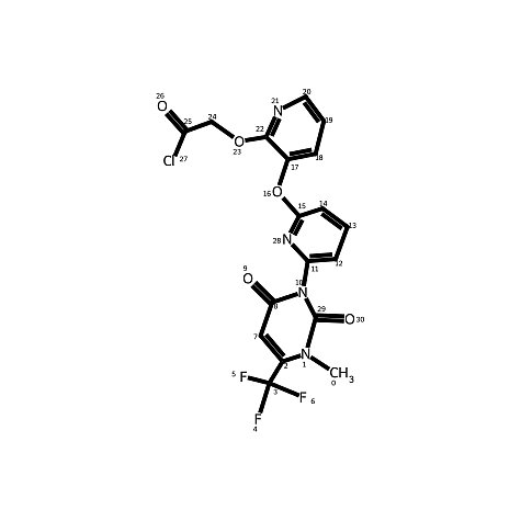 Cn1c(C(F)(F)F)cc(=O)n(-c2cccc(Oc3cccnc3OCC(=O)Cl)n2)c1=O